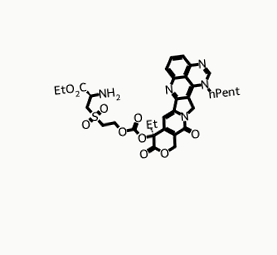 CCCCCN1C=Nc2cccc3nc4c(c1c23)Cn1c-4cc2c(c1=O)COC(=O)[C@@]2(CC)OC(=O)OCCS(=O)(=O)C[C@H](N)C(=O)OCC